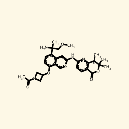 COCC(C)(N)c1ccc(OC2CN(C(C)=O)C2)c2cnc(Nc3ccc4c(n3)[C@@H](C)C(C)(C)OC4=O)cc12